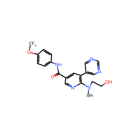 CCCN(CCO)c1ncc(C(=O)Nc2ccc(OC(F)(F)F)cc2)cc1-c1cncnc1